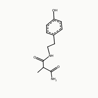 C[C](C(N)=O)C(=O)NCCc1ccc(O)cc1